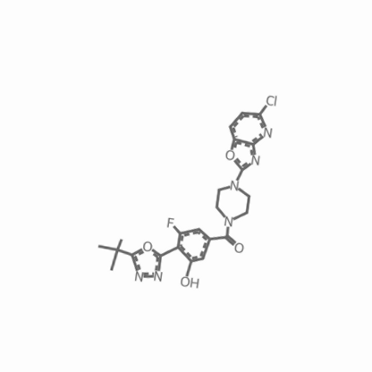 CC(C)(C)c1nnc(-c2c(O)cc(C(=O)N3CCN(c4nc5nc(Cl)ccc5o4)CC3)cc2F)o1